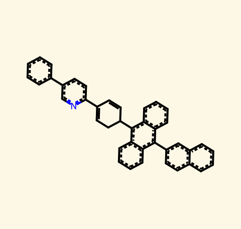 C1=CC(c2c3ccccc3c(-c3ccc4ccccc4c3)c3ccccc23)CC=C1c1ccc(-c2ccccc2)cn1